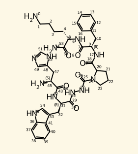 NCCCC[C@H](NC(=O)[C@@H](Cc1ccccc1)NC(=O)C1CCCN1C(=O)NNC(=O)[C@@H](Cc1c[nH]c2ccccc12)NC(=O)[C@@H](N)Cc1cnc[nH]1)C(N)=O